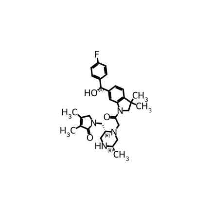 CC1=C(C)C(=O)N(C[C@H]2CN[C@H](C)CN2CC(=O)N2CC(C)(C)c3ccc([C@@H](O)c4ccc(F)cc4)cc32)C1